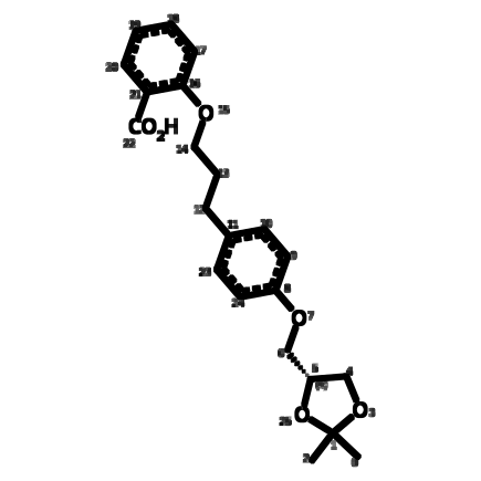 CC1(C)OC[C@@H](COc2ccc(CCCOc3ccccc3C(=O)O)cc2)O1